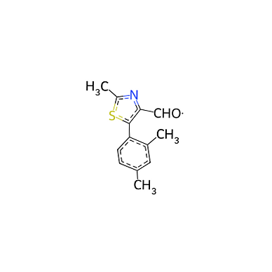 Cc1ccc(-c2sc(C)nc2[C]=O)c(C)c1